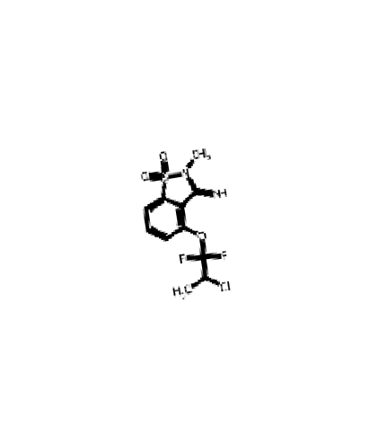 CC(Cl)C(F)(F)Oc1cccc2c1C(=N)N(C)S2(=O)=O